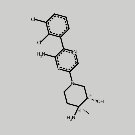 C[C@]1(N)CCN(c2cnc(-c3cccc(Cl)c3Cl)c(N)n2)C[C@@H]1O